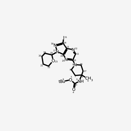 CC1(NC(=O)OC(C)(C)C)CCN(c2cnc3c(I)nn(C4CCCCO4)c3n2)CC1